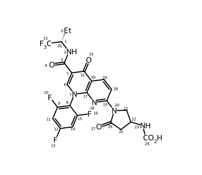 CC[C@H](NC(=O)c1cn(-c2c(F)cc(F)cc2F)c2nc(N3CC(NC(=O)O)CC3=O)ccc2c1=O)C(F)(F)F